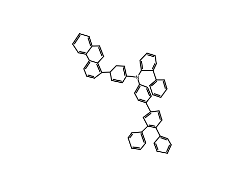 C1=CC(c2cccc3c2ccc2ccccc23)CC=C1N(c1ccc(-c2ccc(-c3ccccc3)c(-c3ccccc3)c2)cc1)c1ccccc1-c1ccccc1